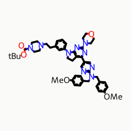 COc1ccc(CN(Cc2ccc(OC)cc2)c2ncc(-c3nc(N4CCOCC4)nc4c3CCN4c3cccc(CCN4CCN(C(=O)OC(C)(C)C)CC4)c3)cn2)cc1